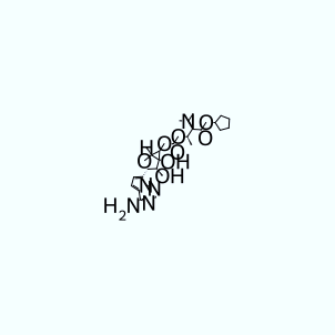 C[C@@H](OC(=O)OC1[C@H]2O[C@@H](c3ccc4c(N)ncnn34)[C@H](O)[C@@]12O)[C@@H](C(=O)OC1CCCC1)N(C)C